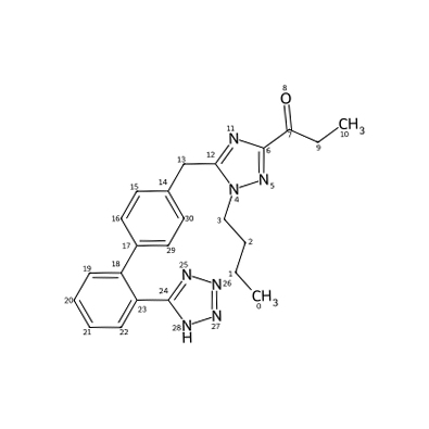 CCCCn1nc(C(=O)CC)nc1Cc1ccc(-c2ccccc2-c2nnn[nH]2)cc1